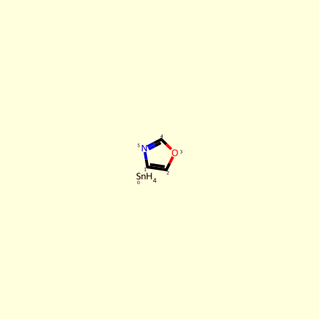 [SnH4].c1cocn1